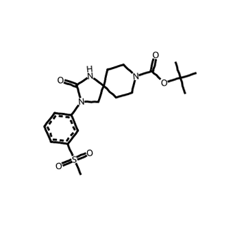 CC(C)(C)OC(=O)N1CCC2(CC1)CN(c1cccc(S(C)(=O)=O)c1)C(=O)N2